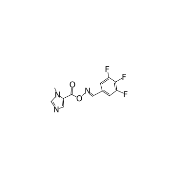 Cn1cncc1C(=O)ON=Cc1cc(F)c(F)c(F)c1